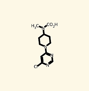 CN(C(=O)O)C1CCN(c2cc(Cl)ncn2)CC1